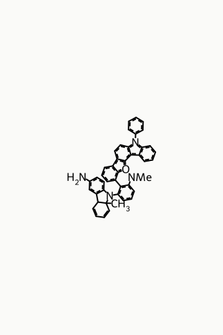 CNc1cccc(N2c3ccc(N)cc3C3C=CC=CC32C)c1-c1cccc2c1oc1c2ccc2c1c1ccccc1n2-c1ccccc1